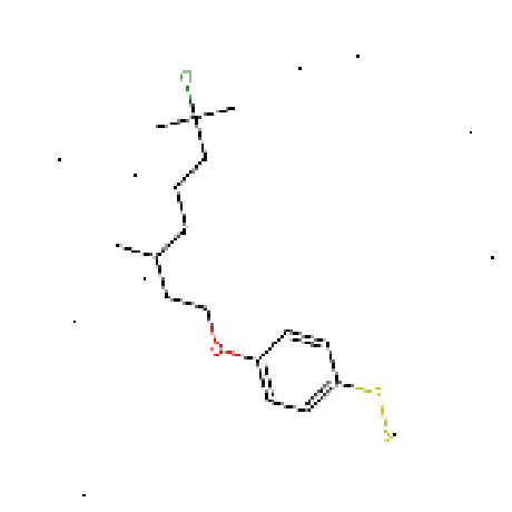 CC(CCCC(C)(C)Cl)CCOc1ccc(S[S])cc1